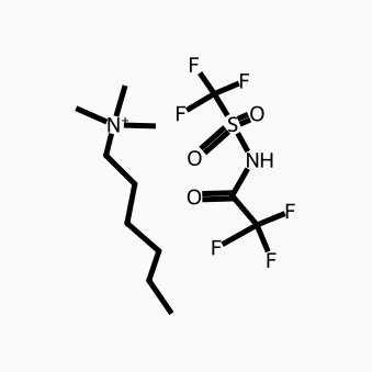 CCCCCC[N+](C)(C)C.O=C(NS(=O)(=O)C(F)(F)F)C(F)(F)F